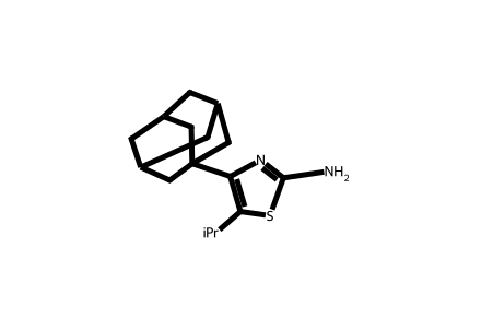 CC(C)c1sc(N)nc1C12CC3CC(CC(C3)C1)C2